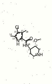 CO[C@@H]1CNCC[C@H]1NC(=O)c1[nH]c(C)c(Cl)c1C